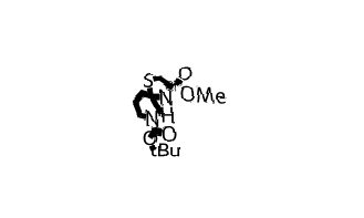 COC(=O)[C@@H]1CSC2(CCCN(C(=O)OC(C)(C)C)C2)N1